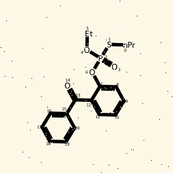 CCCSP(=O)(OCC)Oc1ccccc1C(=O)c1ccccc1